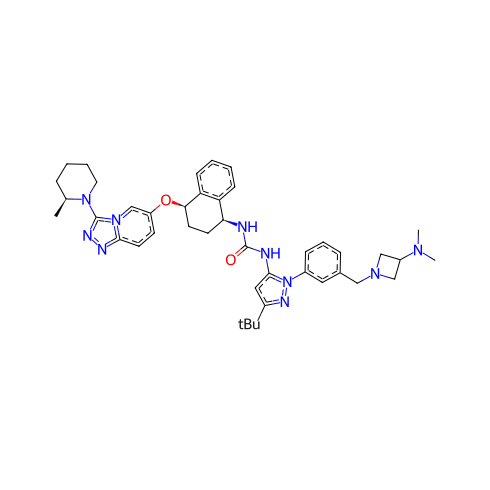 C[C@H]1CCCCN1c1nnc2ccc(O[C@@H]3CC[C@H](NC(=O)Nc4cc(C(C)(C)C)nn4-c4cccc(CN5CC(N(C)C)C5)c4)c4ccccc43)cn12